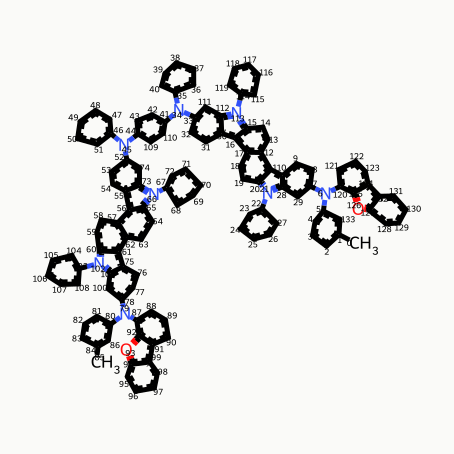 Cc1cccc(N(c2ccc3c4c5ccc6c(c5ccc4n(-c4ccccc4)c3c2)c2ccc(N(c3ccccc3)c3ccc(N(c4ccccc4)c4ccc5c7c8ccc9c(c8ccc7n(-c7ccccc7)c5c4)c4ccc(N(c5cccc(C)c5)c5cccc7c5oc5ccccc57)cc4n9-c4ccccc4)cc3)cc2n6-c2ccccc2)c2cccc3c2oc2ccccc23)c1